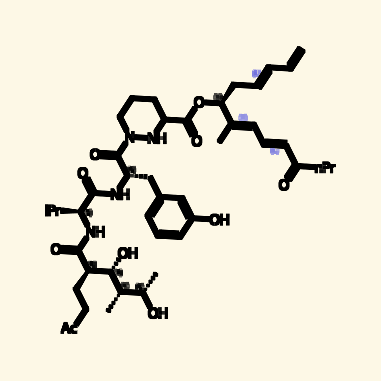 C=C/C=C/C[C@H](OC(=O)C1CCCN(C(=O)[C@H](Cc2cccc(O)c2)NC(=O)[C@@H](NC(=O)[C@H](CCC(C)=O)[C@H](O)[C@@H](C)[C@H](C)O)C(C)C)N1)/C(C)=C/C=C/C(=O)CCC